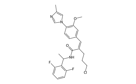 COc1cc(C=C(CCCCl)C(=O)NC(C)c2c(F)cccc2F)ccc1-n1cnc(C)c1